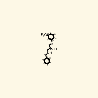 OC(CNCc1ccccc1)COc1cccc(C(F)(F)F)c1